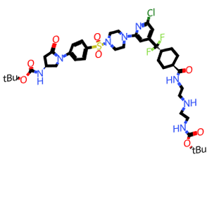 CC(C)(C)OC(=O)NCCNCCNC(=O)[C@H]1CC[C@H](C(F)(F)c2cc(Cl)nc(N3CCN(S(=O)(=O)c4ccc(N5C[C@H](NC(=O)OC(C)(C)C)CC5=O)cc4)CC3)c2)CC1